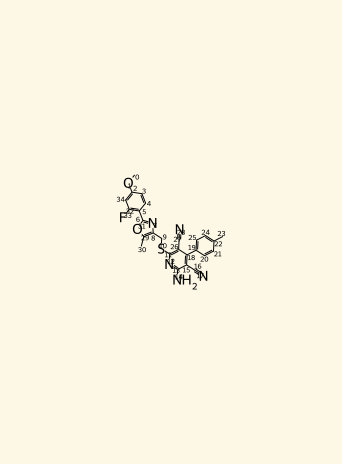 COc1ccc(-c2nc(CSc3nc(N)c(C#N)c(-c4ccc(C)cc4)c3C#N)c(C)o2)c(F)c1